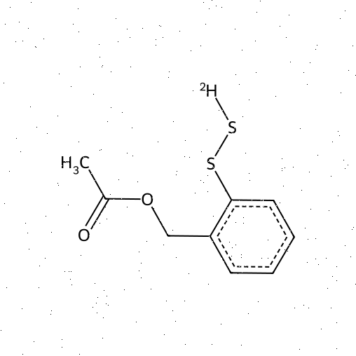 [2H]SSc1ccccc1COC(C)=O